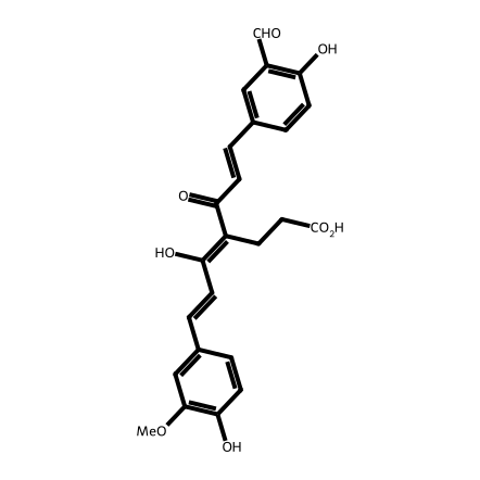 COc1cc(/C=C/C(O)=C(\CCC(=O)O)C(=O)/C=C/c2ccc(O)c(C=O)c2)ccc1O